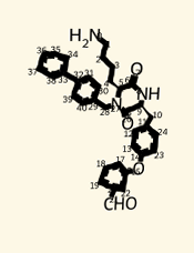 NCCCC[C@H]1C(=O)N[C@@H](Cc2ccc(Oc3cccc(C=O)c3)cc2)C(=O)N1Cc1ccc(-c2ccccc2)cc1